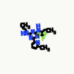 CCCNc1nc(NC(CC)C(F)(F)F)nc(-c2cccc(C)n2)n1